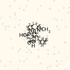 Cc1nc2c(s1)CC=c1cccnc1=C2N1CCNC(CCc2cccc(F)c2)C1.O=C(O)CCC(=O)O